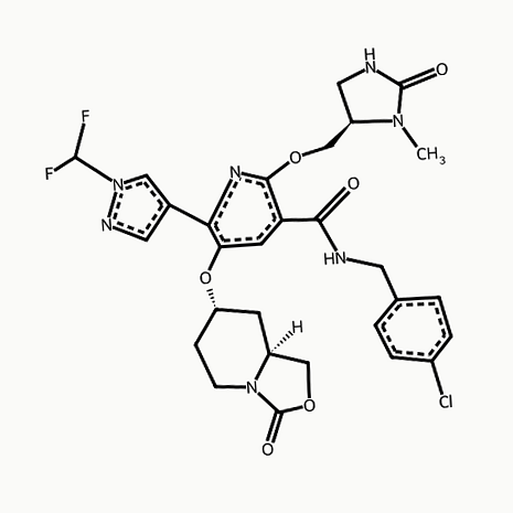 CN1C(=O)NC[C@@H]1COc1nc(-c2cnn(C(F)F)c2)c(O[C@H]2CCN3C(=O)OC[C@@H]3C2)cc1C(=O)NCc1ccc(Cl)cc1